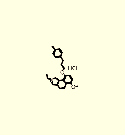 CCN1CC2CCc3c(OC)ccc(OCCCc4ccc(C)cc4)c3C2C1.Cl